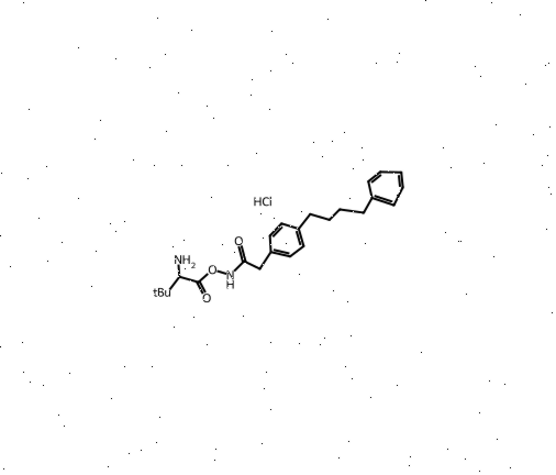 CC(C)(C)C(N)C(=O)ONC(=O)Cc1ccc(CCCCc2ccccc2)cc1.Cl